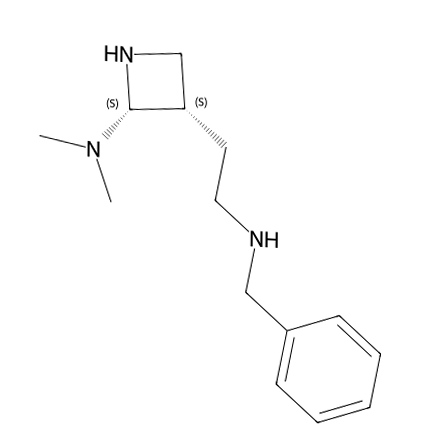 CN(C)[C@@H]1NC[C@@H]1CCNCc1ccccc1